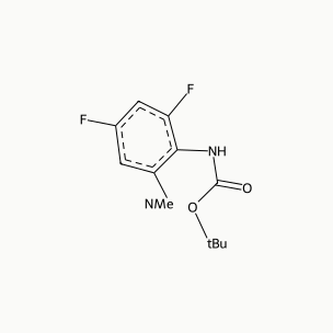 CNc1cc(F)cc(F)c1NC(=O)OC(C)(C)C